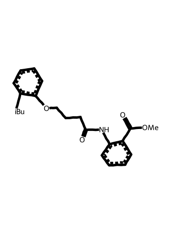 CCC(C)c1ccccc1OCCCC(=O)Nc1ccccc1C(=O)OC